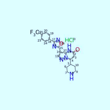 Cl.O=c1cc(C2CCNCC2)n2ncc(-c3nc(-c4ccc(C(F)(F)F)cc4)no3)c2[nH]1